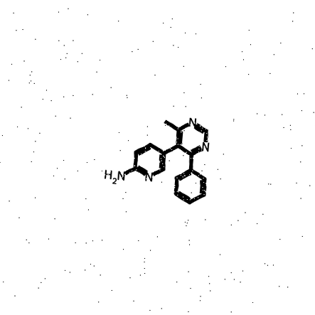 Cc1ncnc(-c2ccccc2)c1-c1ccc(N)nc1